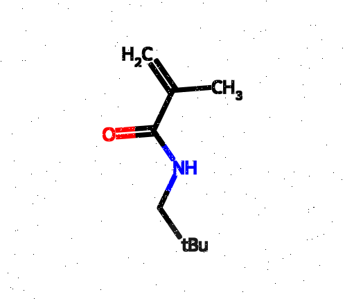 C=C(C)C(=O)NCC(C)(C)C